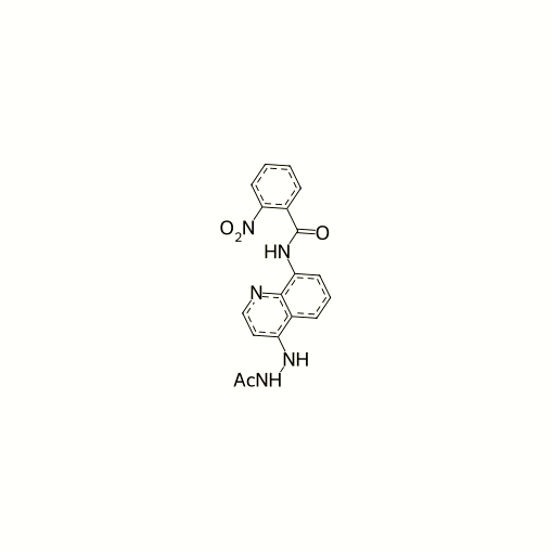 CC(=O)NNc1ccnc2c(NC(=O)c3ccccc3[N+](=O)[O-])cccc12